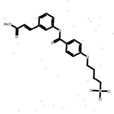 COC(=O)/C=C/c1cccc(OC(=O)c2ccc(OCCCC[Si](Cl)(Cl)Cl)cc2)c1